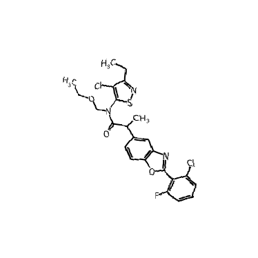 CCOCN(C(=O)C(C)c1ccc2oc(-c3c(F)cccc3Cl)nc2c1)c1snc(CC)c1Cl